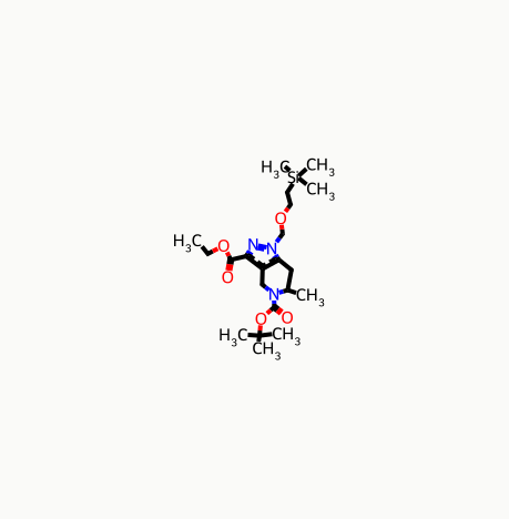 CCOC(=O)c1nn(COCC[Si](C)(C)C)c2c1CN(C(=O)OC(C)(C)C)C(C)C2